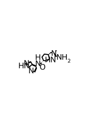 CN(C[C@H]1CC[C@H](C(=O)Nc2ccnc3[nH]ncc23)CC1)C(=N)N